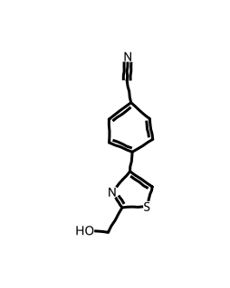 N#Cc1ccc(-c2csc(CO)n2)cc1